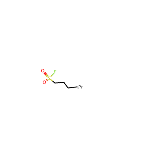 CC(C)CCCS(=O)(=O)F